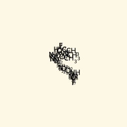 CC(C)N(C(=O)c1cc(F)ccc1Oc1cncnc1N1CC[C@@H](CN2CCC3(CCC(Nc4ncc(F)cn4)CC3)CC2)C1)C(C)C